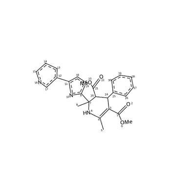 COC(=O)C1=C(C)NC(C)(c2nc(-c3cccnc3)cs2)C(C(=O)OC)C1c1ccccc1